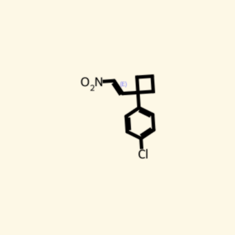 O=[N+]([O-])/C=C/C1(c2ccc(Cl)cc2)CCC1